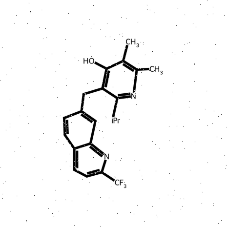 Cc1nc(C(C)C)c(Cc2ccc3ccc(C(F)(F)F)nc3c2)c(O)c1C